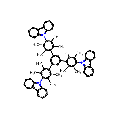 Cc1c(C)c(-n2c3ccccc3c3ccccc32)c(C)c(C)c1-c1cc(-c2c(C)c(C)c(-n3c4ccccc4c4ccccc43)c(C)c2C)cc(-c2c(C)c(C)c(-n3c4ccccc4c4ccccc43)c(C)c2C)c1